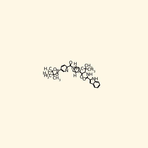 CC(C)(C)[C@H](NC(=O)c1cc2ccccc2[nH]1)C(=O)N1C[C@@H]2C[C@H]1CN2C(=O)c1ccc(B2OC(C)(C)C(C)(C)O2)cn1